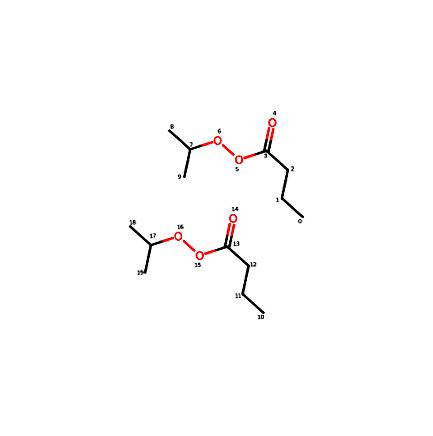 CCCC(=O)OOC(C)C.CCCC(=O)OOC(C)C